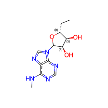 CC[C@H]1OC(n2cnc3c(NC)ncnc32)[C@H](O)[C@@H]1O